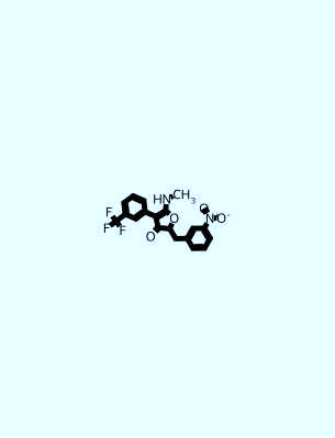 CNC1=C(c2cccc(C(F)(F)F)c2)C(=O)C(Cc2cccc([N+](=O)[O-])c2)O1